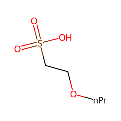 CCCOCCS(=O)(=O)O